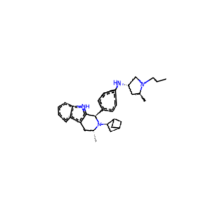 CCCN1C[C@@H](Nc2ccc([C@@H]3c4[nH]c5ccccc5c4C[C@@H](C)N3C3CC4CC3C4)cc2)C[C@@H]1C